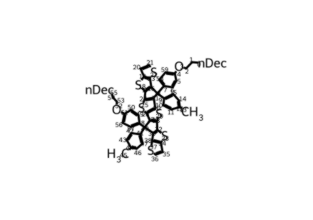 CCCCCCCCCCCCOc1ccc(C2(c3ccc(C)cc3)c3c(sc4ccsc34)-c3sc4c5c(sc4c32)-c2sc3ccsc3c2C5(c2ccc(C)cc2)c2ccc(OCCCCCCCCCCCC)cc2)cc1